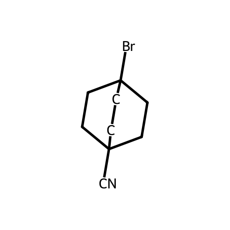 N#CC12CCC(Br)(CC1)CC2